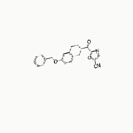 N#Cc1cnc(C(=O)C2CCc3cc(OCc4ccccc4)ccc3C2)o1